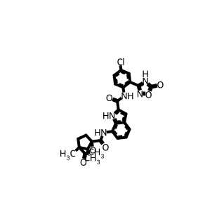 CC12CCC(C(=O)Nc3cccc4cc(C(=O)Nc5ccc(Cl)cc5-c5noc(=O)[nH]5)[nH]c34)(OC1=O)C2(C)C